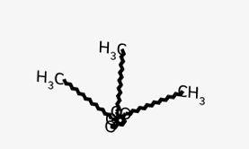 CCCCCCCCCCCCCCCCOc1ccc(C=O)c(OCCCCCCCCCCCCCCCC)c1OCCCCCCCCCCCCCCCC